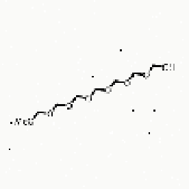 COCOCOCOCOCOCOCO